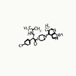 Cc1cnc2[nH]ncc2c1N1CCN(C(=O)[C@H](CNC(C)C)c2ccc(Cl)cc2)CC1